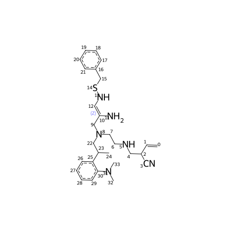 C=CC(C#N)CNCCN(C/C(N)=C/NSCc1ccccc1)CC(C)c1ccccc1N(C)C